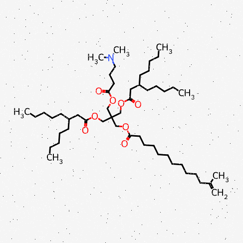 C=C(C)CCCCCCCCCCC(=O)OCC(COC(=O)CCCN(C)C)(COC(=O)CC(CCCCC)CCCCC)COC(=O)CC(CCCCC)CCCCC